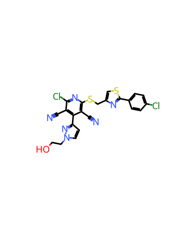 N#Cc1c(Cl)nc(SCc2csc(-c3ccc(Cl)cc3)n2)c(C#N)c1-c1ccn(CCO)n1